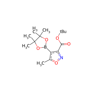 Cc1onc(C(=O)OC(C)(C)C)c1B1OC(C)(C)C(C)(C)O1